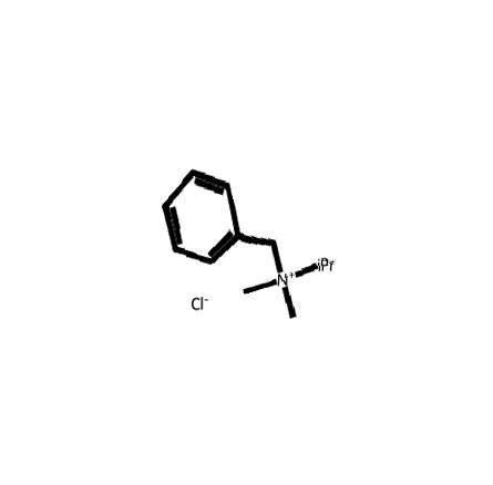 CC(C)[N+](C)(C)Cc1ccccc1.[Cl-]